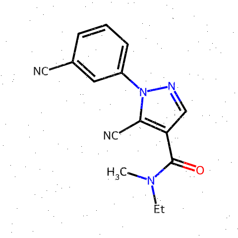 CCN(C)C(=O)c1cnn(-c2cccc(C#N)c2)c1C#N